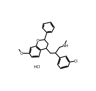 CNCC(CC1CC(c2ccccc2)Oc2cc(OC)ccc21)c1cccc(Cl)c1.Cl